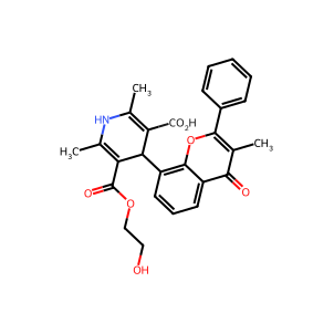 CC1=C(C(=O)O)C(c2cccc3c(=O)c(C)c(-c4ccccc4)oc23)C(C(=O)OCCO)=C(C)N1